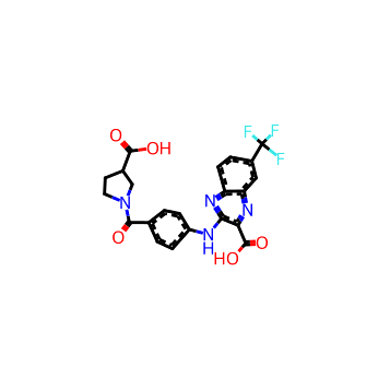 O=C(O)c1nc2cc(C(F)(F)F)ccc2nc1Nc1ccc(C(=O)N2CCC(C(=O)O)C2)cc1